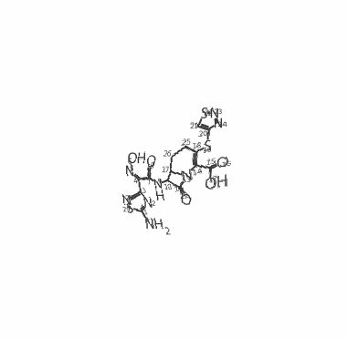 Nc1nc(/C(=N/O)C(=O)NC2C(=O)N3C(C(=O)O)=C(Sc4csnn4)CCC23)ns1